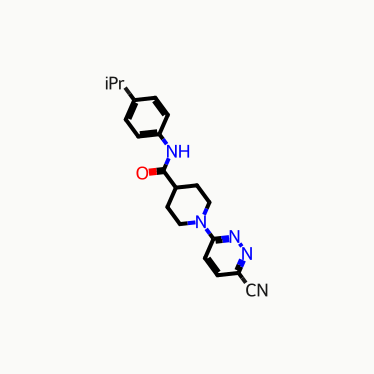 CC(C)c1ccc(NC(=O)C2CCN(c3ccc(C#N)nn3)CC2)cc1